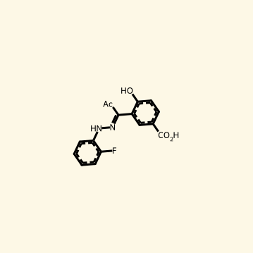 CC(=O)/C(=N\Nc1ccccc1F)c1cc(C(=O)O)ccc1O